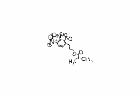 C=C(C)C(=O)OCCCc1ccc([N+](=O)[O-])c([N+](=O)[O-])c1[N+](=O)[O-]